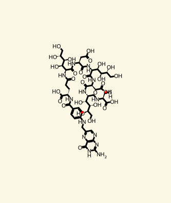 Nc1nc2ncc(CNc3ccc(C(=O)N[C@@H](CCC(=O)N[C@H](C(=O)N[C@@H](CC(=O)O)C(=O)N[C@H](C(=O)N[C@@H](CC(=O)O)C(=O)N[C@H](C(=O)N[C@@H](CS)C(=O)O)[C@@H](O)[C@H](O)[C@H](O)CO)[C@@H](O)[C@H](O)[C@H](O)CO)[C@@H](O)[C@H](O)[C@H](O)CO)C(=O)O)cc3)nc2c(=O)[nH]1